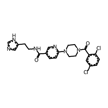 O=C(NCCc1cnc[nH]1)c1ccc(N2CCN(C(=O)c3cc(Cl)ccc3Cl)CC2)nc1